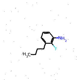 [CH2]CCCc1cccc(N)c1F